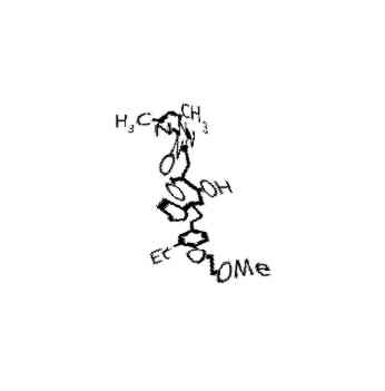 CCc1cc(CCC2(C3CCCC3)CC(O)=C(Cc3nc4nc(C)cc(C)n4n3)C(=O)O2)ccc1OCCOC